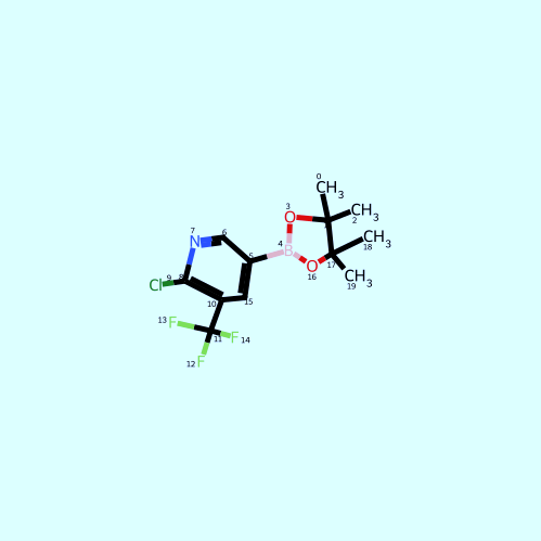 CC1(C)OB(c2cnc(Cl)c(C(F)(F)F)c2)OC1(C)C